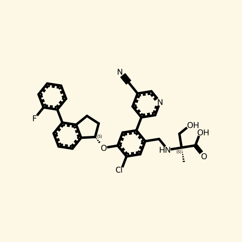 C[C@@](CO)(NCc1cc(Cl)c(O[C@H]2CCc3c(-c4ccccc4F)cccc32)cc1-c1cncc(C#N)c1)C(=O)O